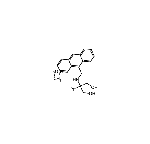 CC(C)C(CO)(CO)NCc1c2ccccc2cc2ccccc12.CS(=O)(=O)O